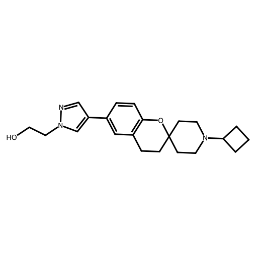 OCCn1cc(-c2ccc3c(c2)CCC2(CCN(C4CCC4)CC2)O3)cn1